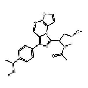 CO[C@@H](C)c1ccc(-c2nc([C@H]3C[C@@H](O)CN3C(C)=O)n3c2cnc2[nH]ccc23)cc1